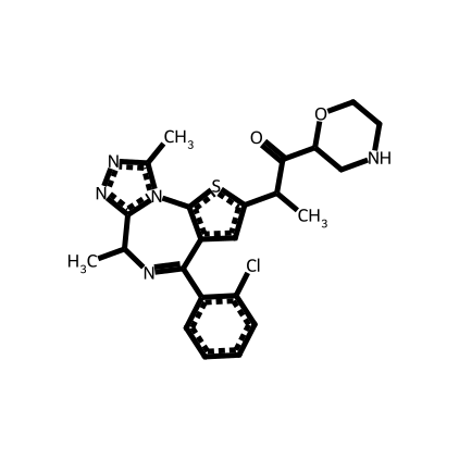 Cc1nnc2n1-c1sc(C(C)C(=O)C3CNCCO3)cc1C(c1ccccc1Cl)=NC2C